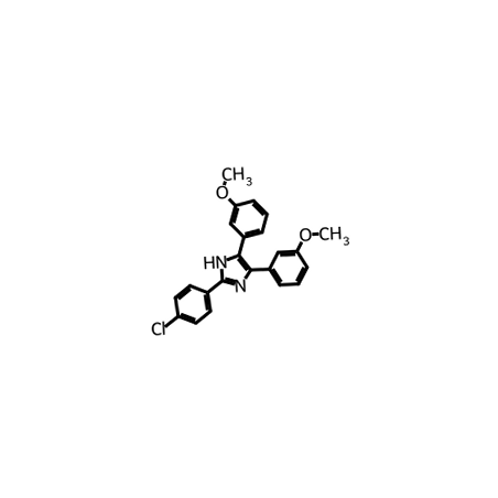 COc1cccc(-c2nc(-c3ccc(Cl)cc3)[nH]c2-c2cccc(OC)c2)c1